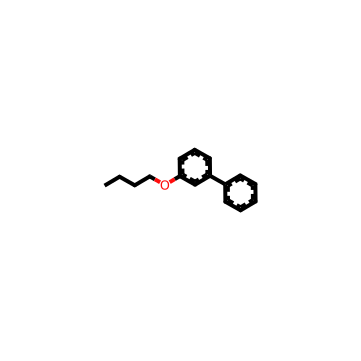 CCCCOc1cccc(-c2ccccc2)c1